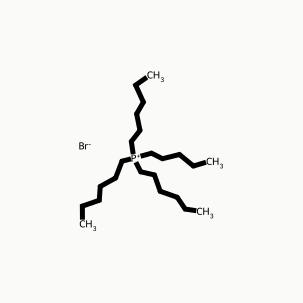 CCCCCC[P+](CCCCC)(CCCCCC)CCCCCC.[Br-]